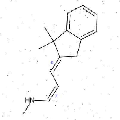 CN/C=C\C=C1/Cc2ccccc2C1(C)C